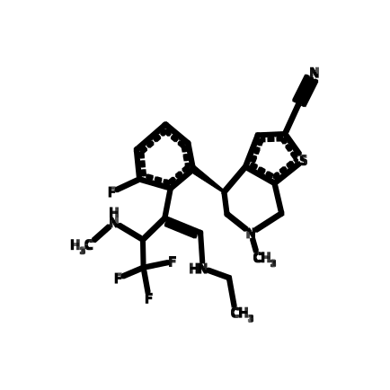 CCN/C=C(/c1c(F)cccc1[C@@H]1CN(C)Cc2sc(C#N)cc21)C(NC)C(F)(F)F